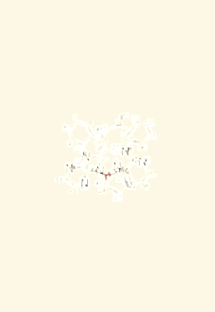 C=C1CC2(C)c3ccccc3N3c4nccnc4N(c4ccccc4)C3C2C2N(c3ccccc31)c1ncccc1N2C(C)C